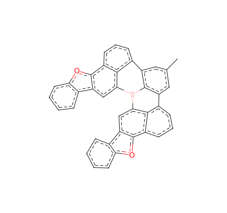 Cc1cc2c3c(c1)-c1cccc4c1c(cc1c5ccccc5oc41)B3c1cc3c4ccccc4oc3c3cccc-2c13